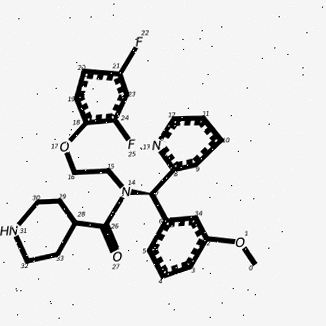 COc1cccc([C@H](c2ccccn2)N(CCOc2ccc(F)cc2F)C(=O)C2CCNCC2)c1